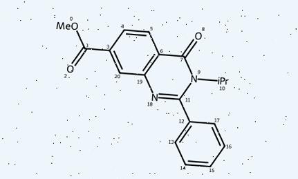 COC(=O)c1ccc2c(=O)n(C(C)C)c(-c3ccccc3)nc2c1